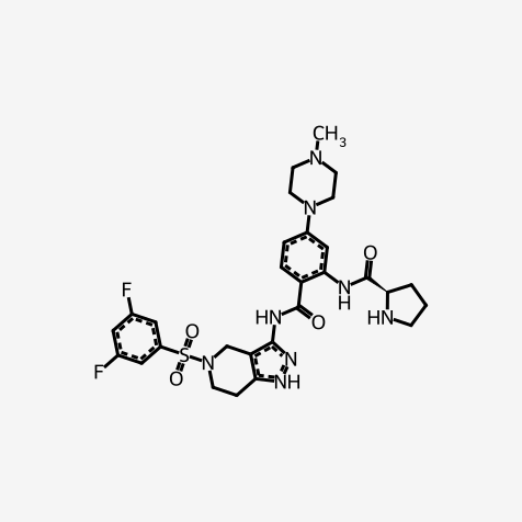 CN1CCN(c2ccc(C(=O)Nc3n[nH]c4c3CN(S(=O)(=O)c3cc(F)cc(F)c3)CC4)c(NC(=O)[C@H]3CCCN3)c2)CC1